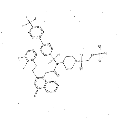 [2H]C([2H])([2H])OCC([2H])([2H])N1CCC(N(C(=O)Cn2c(SCc3cccc(F)c3F)cc(=O)c3ccccc32)C([2H])(C)c2ccc(-c3ccc(C(F)(F)F)cc3)cc2)CC1